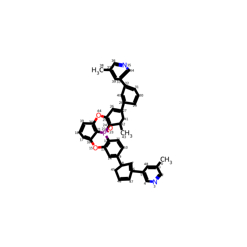 Cc1cncc(C2=CC(c3ccc4c(c3)Oc3cccc5c3P4(=O)C3=C(C=C(c4cccc(-c6cncc(C)c6)c4)CC3C)O5)CC=C2)c1